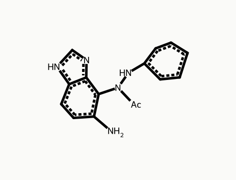 CC(=O)N(Nc1ccccc1)c1c(N)ccc2[nH]cnc12